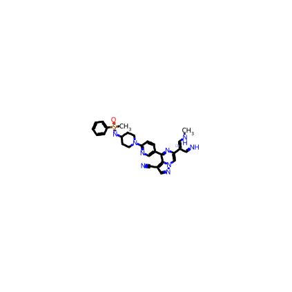 CN/C=C(\C=N)c1cn2ncc(C#N)c2c(-c2ccc(N3CCC(N=S(C)(=O)c4ccccc4)CC3)nc2)n1